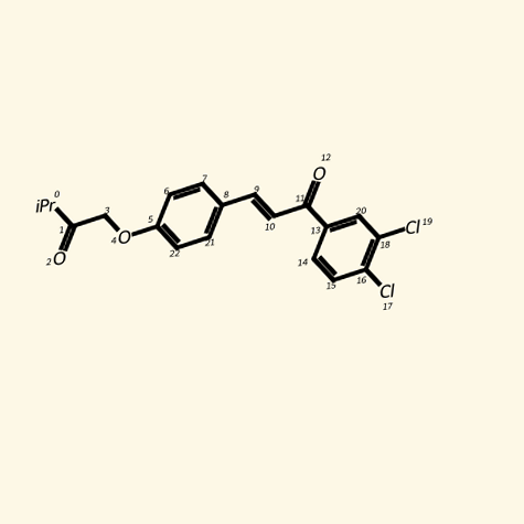 CC(C)C(=O)COc1ccc(/C=C/C(=O)c2ccc(Cl)c(Cl)c2)cc1